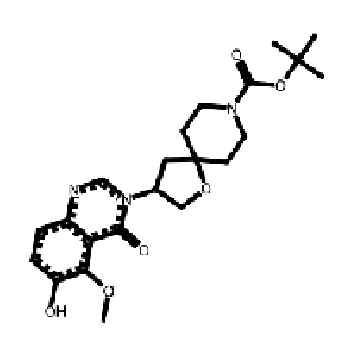 COc1c(O)ccc2ncn(C3COC4(CCN(C(=O)OC(C)(C)C)CC4)C3)c(=O)c12